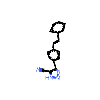 N#Cc1[nH]nnc1-c1ccc(C=Cc2ccccc2)cc1